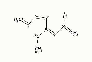 C=C/C=C\C(=C/C(=C)Cl)OC